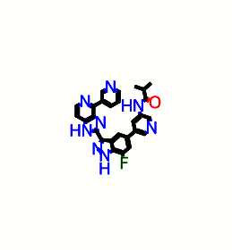 CC(C)C(=O)Nc1cncc(-c2cc(F)c3[nH]nc(-c4nc5c(-c6cccnc6)nccc5[nH]4)c3c2)c1